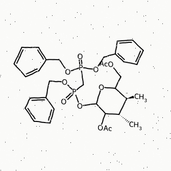 CC(=O)OCC1OC(OP(=O)(CP(=O)(OCc2ccccc2)OCc2ccccc2)OCc2ccccc2)C(OC(C)=O)[C@@H](C)[C@@H]1C